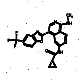 CNc1ncc(-c2nc3cc(C(F)(F)F)ccc3o2)c2cc(NC(=O)C3CC3)ncc12